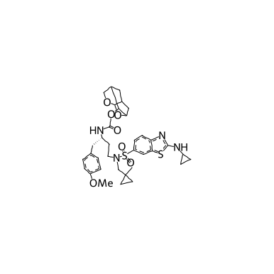 COc1ccc(C[C@@H](CCN(CC2(C)CC2)S(=O)(=O)c2ccc3nc(NC4CC4)sc3c2)NC(=O)OC2C3COC4OC2CC4C3)cc1